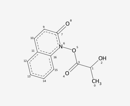 CC(O)C(=O)On1c(=O)ccc2ccccc21